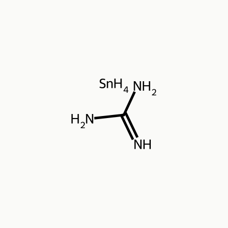 N=C(N)N.[SnH4]